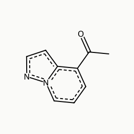 CC(=O)c1cccn2nccc12